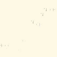 CN(Cc1ccn(C)n1)c1ccc2cc(C(=O)O)c(=O)oc2c1